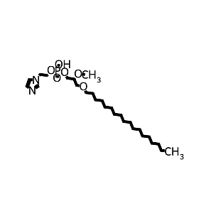 CCCCCCCCCCCCCCCCCCOCC(COP(=O)(O)OCCn1ccnc1)OC